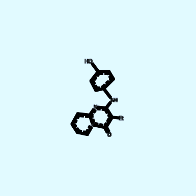 CCc1c(Nc2ccc(O)cc2)nc2ccccn2c1=O